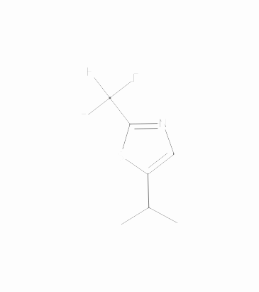 CC(C)c1cnc(C(F)(F)F)s1